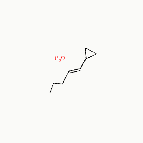 CCCC=CC1CC1.O